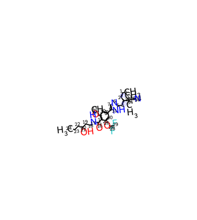 C/C=C\C(=C/c1ncc(-c2cc(OC)c(C(=O)NCCC(O)CCC)c(OC(F)F)c2)[nH]1)C(C)(C)C#N